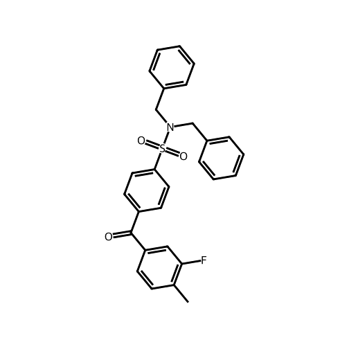 Cc1ccc(C(=O)c2ccc(S(=O)(=O)N(Cc3ccccc3)Cc3ccccc3)cc2)cc1F